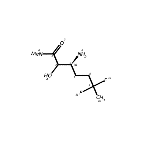 CNC(=O)C(O)[C@@H](N)CCC(C)(F)F